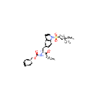 COC(=O)/C(=C\c1ccc2c(ccn2S(=O)(=O)CC[Si](C)(C)C)c1)NC(=O)OCc1ccccc1